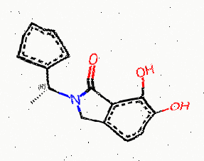 C[C@H](c1ccccc1)N1Cc2ccc(O)c(O)c2C1=O